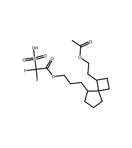 CC(=O)OCCC1CCC12CCCC2CCCOC(=O)C(F)(F)S(=O)(=O)O